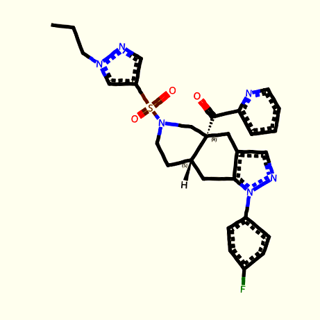 CCCn1cc(S(=O)(=O)N2CC[C@H]3Cc4c(cnn4-c4ccc(F)cc4)C[C@]3(C(=O)c3ccccn3)C2)cn1